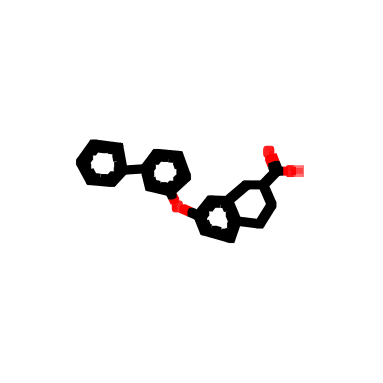 O=C(O)C1CCc2ccc(Oc3cccc(-c4ccccc4)c3)cc2C1